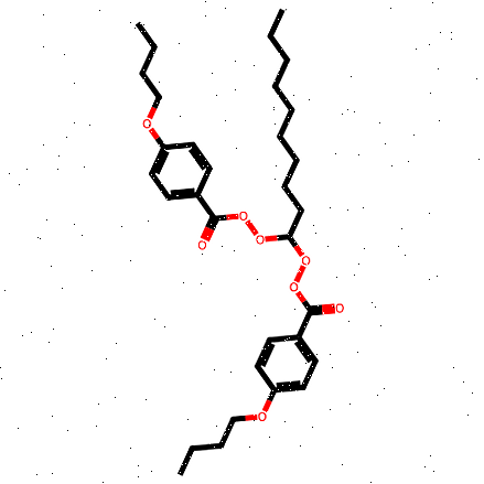 [CH2]CCCCCCCC[C](OOC(=O)c1ccc(OCCCC)cc1)OOC(=O)c1ccc(OCCCC)cc1